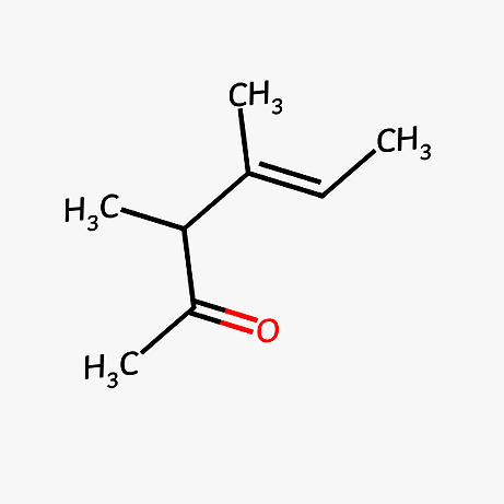 C/C=C(\C)C(C)C(C)=O